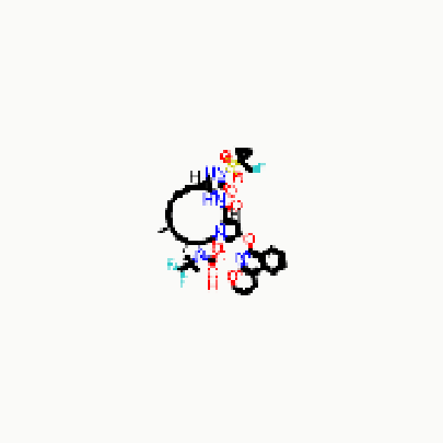 C[C@H]1CC/C=C\[C@@H]2C[C@@]2(C(=O)NS(=O)(=O)C2(CF)CC2)NC(=O)[C@@H]2C[C@@H](Oc3nc4c(c5ccccc35)CCCO4)CN2C(=O)[C@@H](N(C(=O)O)C(C)(C)C(F)F)[C@H](C)C1